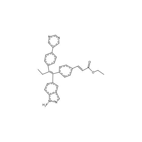 CCOC(=O)/C=C/c1ccc(/C(=C(/CC)c2ccc(-c3cncnc3)cc2)c2ccc3c(cnn3P)c2)cc1